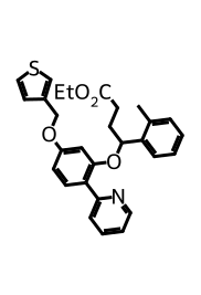 CCOC(=O)CCC(Oc1cc(OCc2ccsc2)ccc1-c1ccccn1)c1ccccc1C